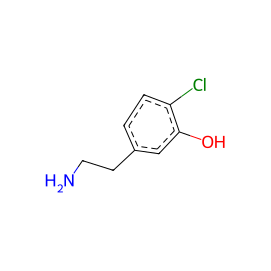 NCCc1ccc(Cl)c(O)c1